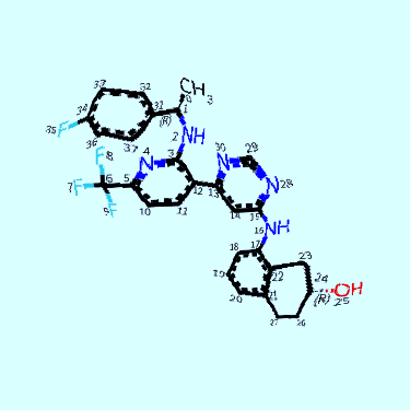 C[C@@H](Nc1nc(C(F)(F)F)ccc1-c1cc(Nc2cccc3c2C[C@H](O)CC3)ncn1)c1ccc(F)cc1